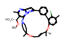 Cc1ccc2c(c1F)-c1cccc(c1)-c1cc3nc(C)c([C@H](OC(C)(C)C)C(=O)O)c(n3n1)N1CCC(C)(CC1)OC/C=C/[C@H](C)O2